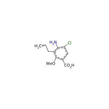 C=CCc1c(N)c(Cl)cc(C(=O)O)c1OC